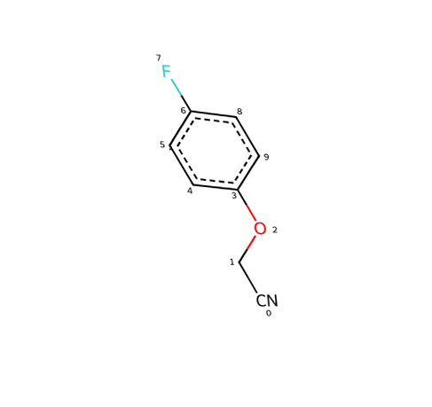 N#CCOc1c[c]c(F)cc1